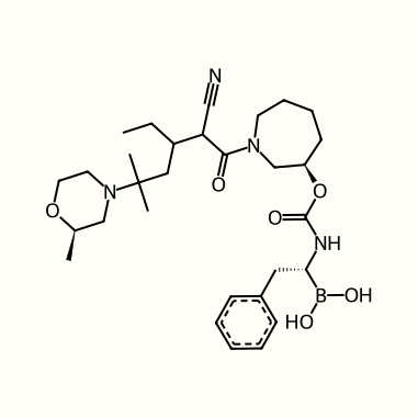 CCC(CC(C)(C)N1CCO[C@H](C)C1)C(C#N)C(=O)N1CCCC[C@@H](OC(=O)N[C@@H](Cc2ccccc2)B(O)O)C1